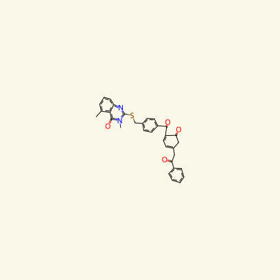 Cc1cccc2nc(SCc3ccc(C(=O)C4=CC=C(CC(=O)c5ccccc5)CC4=O)cc3)n(C)c(=O)c12